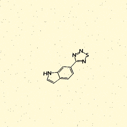 c1cc2ccc(-c3nnsn3)cc2[nH]1